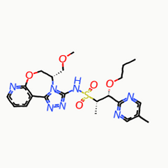 CCCO[C@H](c1ncc(C)cn1)[C@H](C)S(=O)(=O)Nc1nnc2n1[C@@H](COC)COc1ncccc1-2